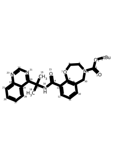 CC(C)(C)OC(=O)N1CCOc2c(cccc2C(=O)NC(C)(C)c2ncnc3ccccc23)C1